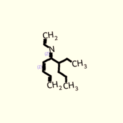 C=C/C=C\C(=N/C=C)C(CC)CCC